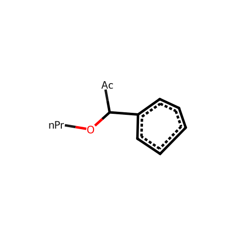 CCCOC(C(C)=O)c1ccccc1